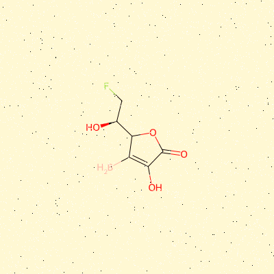 BC1=C(O)C(=O)OC1[C@@H](O)CF